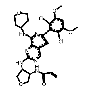 C=CC(=O)N[C@H]1COC[C@H]1Nc1ncc2cc(-c3c(Cl)c(OC)cc(OC)c3Cl)nc(NC3CCOCC3)c2n1